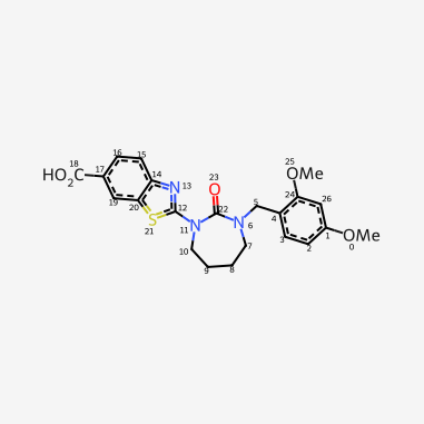 COc1ccc(CN2CCCCN(c3nc4ccc(C(=O)O)cc4s3)C2=O)c(OC)c1